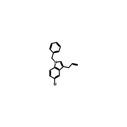 C=CCc1cn(Cc2ccccc2)c2ccc(Br)cc12